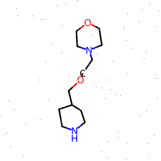 C1CC(COCCN2CCOCC2)CCN1